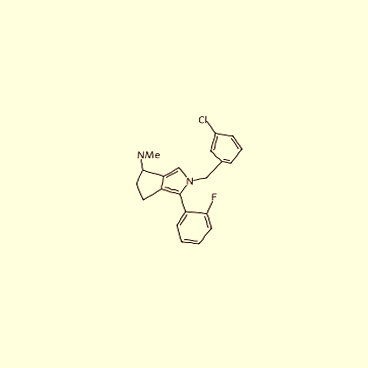 CNC1CCc2c1cn(Cc1cccc(Cl)c1)c2-c1ccccc1F